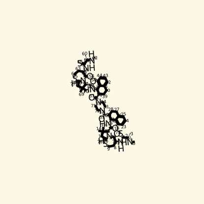 CN[C@@H](C)C(=S)N[C@H]1CCS[C@H]2CC(C)(C)[C@@H](C(=O)N[C@@H]3c4ccccc4CC[C@H]3C(=O)N3CCN(C(=O)[C@@H]4CCc5ccccc5[C@H]4NC(=O)[C@H]4N5C(=O)[C@@H](NC(=S)[C@H](C)NC)CCS[C@H]5CC4(C)C)CC3)N2C1=O